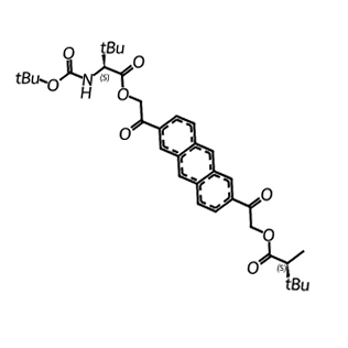 C[C@H](C(=O)OCC(=O)c1ccc2cc3cc(C(=O)COC(=O)[C@@H](NC(=O)OC(C)(C)C)C(C)(C)C)ccc3cc2c1)C(C)(C)C